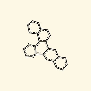 c1ccc2cc3c(cc2c1)c1ccc2ccccc2c1c1nccnc31